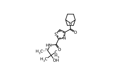 C[C@H](NC(=O)c1nc(C(=O)N2C3CCC2CC3)cs1)C(C)(C)O